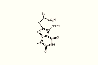 CCCCCn1c(SC(CC)C(=O)O)nc2c1c(=O)[nH]c(=O)n2C